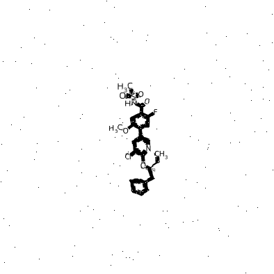 CC[C@@H](Cc1ccccc1)Oc1ncc(-c2cc(F)c(C(=O)NS(C)(=O)=O)cc2OC)cc1Cl